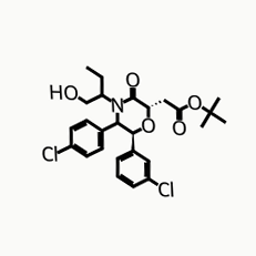 CCC(CO)N1C(=O)[C@H](CC(=O)OC(C)(C)C)O[C@@H](c2cccc(Cl)c2)C1c1ccc(Cl)cc1